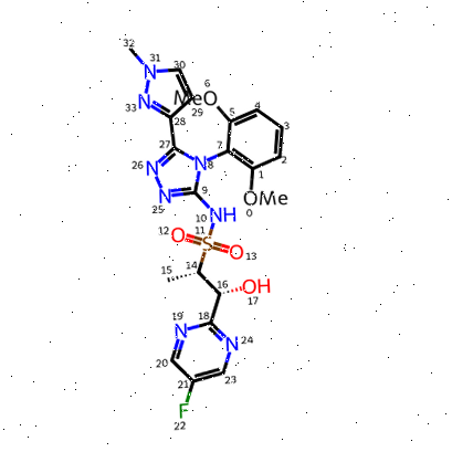 COc1cccc(OC)c1-n1c(NS(=O)(=O)[C@@H](C)[C@H](O)c2ncc(F)cn2)nnc1-c1ccn(C)n1